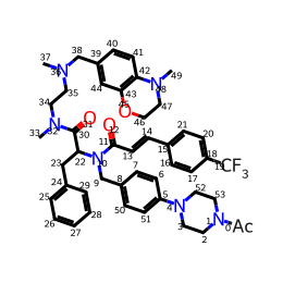 CC(=O)N1CCN(c2ccc(CN(C(=O)C=Cc3ccc(C(F)(F)F)cc3)C(Cc3ccccc3)C(=O)N(C)CCN(C)Cc3ccc4c(c3)OCCN4C)cc2)CC1